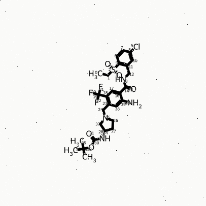 CCS(=O)(=O)c1ccc(Cl)cc1CNC(=O)c1cc(C(F)(F)F)c(CN2CC[C@H](NC(=O)OC(C)(C)C)C2)cc1N